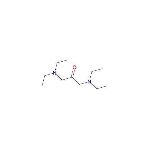 CCN(CC)CC(=O)CN(CC)CC